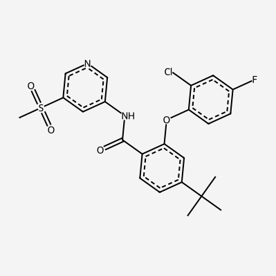 CC(C)(C)c1ccc(C(=O)Nc2cncc(S(C)(=O)=O)c2)c(Oc2ccc(F)cc2Cl)c1